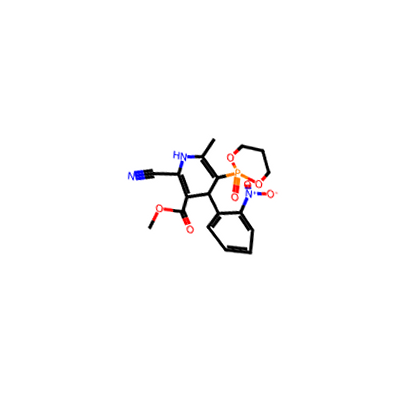 COC(=O)C1=C(C#N)NC(C)=C(P2(=O)OCCCO2)C1c1ccccc1[N+](=O)[O-]